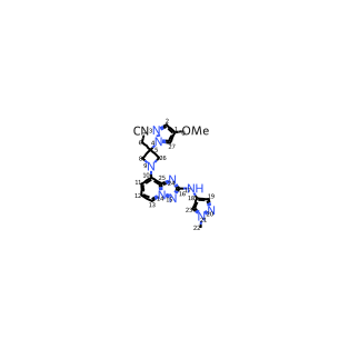 COc1cnn(C2(CC#N)CN(c3cccn4nc(Nc5cnn(C)c5)nc34)C2)c1